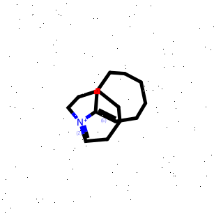 C1=[N+](\C2=C\CCCCCC2)CCCCCC/1